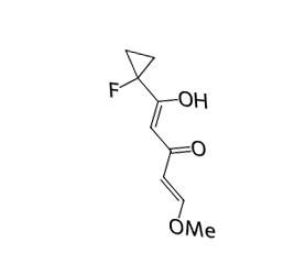 COC=CC(=O)C=C(O)C1(F)CC1